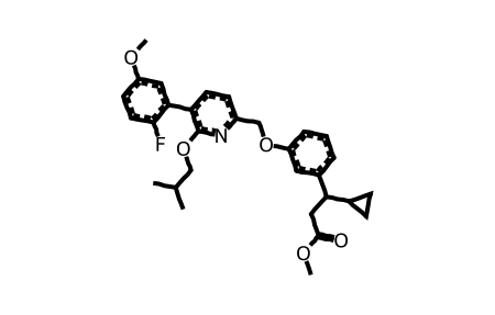 COC(=O)CC(c1cccc(OCc2ccc(-c3cc(OC)ccc3F)c(OCC(C)C)n2)c1)C1CC1